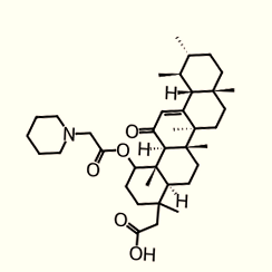 C[C@H]1[C@H](C)CC[C@]2(C)CC[C@]3(C)C(=CC(=O)[C@@H]4[C@@]5(C)C(OC(=O)CN6CCCCC6)CCC(C)(CC(=O)O)[C@@H]5CC[C@]43C)[C@H]12